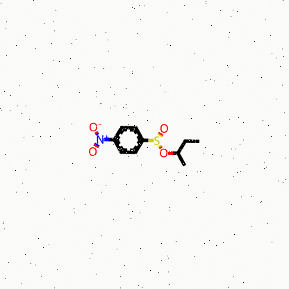 CCC(C)OS(=O)c1ccc([N+](=O)[O-])cc1